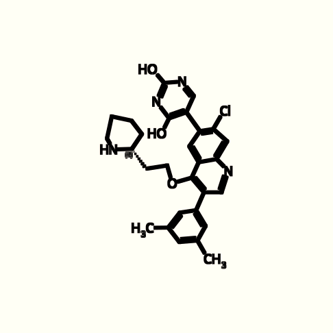 Cc1cc(C)cc(-c2cnc3cc(Cl)c(-c4cnc(O)nc4O)cc3c2OCC[C@H]2CCCCN2)c1